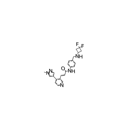 Cn1cc(-c2ccncc2/C=C/C(=O)Nc2ccc(CNC3CC(F)(F)C3)cc2)cn1